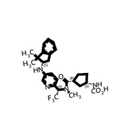 CN(C(=O)[C@@H]1CC[C@H](NC(=O)O)C1)[C@@H](c1ccc(N[C@H]2Cc3ccccc3C2(C)C)cn1)C(F)(F)F